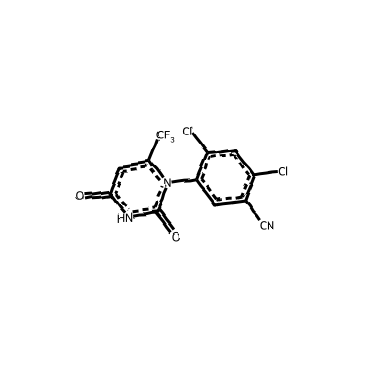 N#Cc1cc(-n2c(C(F)(F)F)cc(=O)[nH]c2=O)c(Cl)cc1Cl